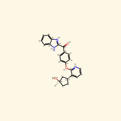 C[C@@]1(O)CC[C@H](c2cccnc2Oc2ccc(C(=O)c3nc4ccccc4[nH]3)cc2)C1